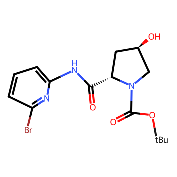 CC(C)(C)OC(=O)N1C[C@H](O)C[C@H]1C(=O)Nc1cccc(Br)n1